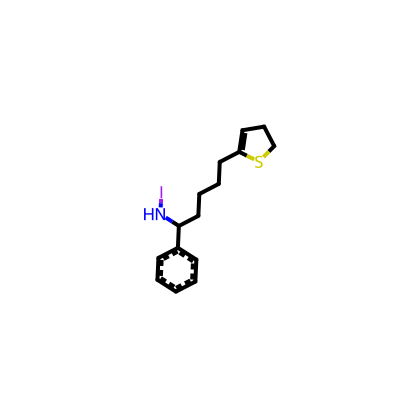 INC(CCCCC1=CCCS1)c1ccccc1